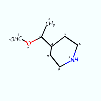 CC(O[C]=O)C1CCNCC1